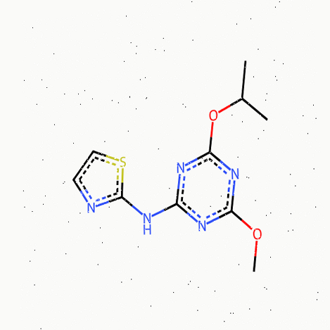 COc1nc(Nc2nccs2)nc(OC(C)C)n1